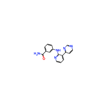 NC(=O)c1cccc(Nc2ncccc2-c2ccncn2)c1